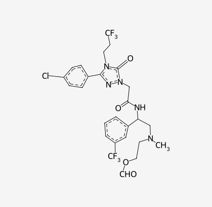 CN(CCOC=O)CC(NC(=O)Cn1nc(-c2ccc(Cl)cc2)n(CCC(F)(F)F)c1=O)c1cccc(C(F)(F)F)c1